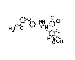 COC(=O)c1cccc(Oc2cccc(-c3nnc(N(Cc4ccc(C(F)(F)P(=O)(O)O)c(Cl)c4)c4ccc(Cl)c(Cl)c4)s3)c2)c1